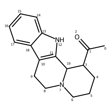 CC(=O)C1CCCN2CCc3c([nH]c4ccccc34)C12